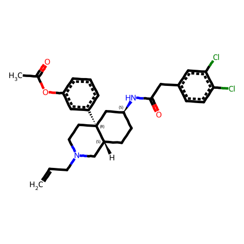 C=CCN1CC[C@@]2(c3cccc(OC(C)=O)c3)C[C@@H](NC(=O)Cc3ccc(Cl)c(Cl)c3)CC[C@@H]2C1